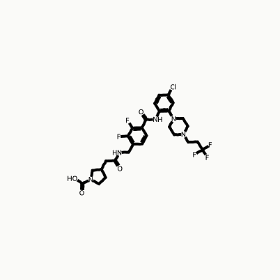 O=C(CC1CCN(C(=O)O)C1)NCc1ccc(C(=O)Nc2ccc(Cl)cc2N2CCN(CCC(F)(F)F)CC2)c(F)c1F